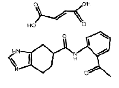 CC(=O)c1ccccc1NC(=O)C1CCc2nc[nH]c2C1.O=C(O)C=CC(=O)O